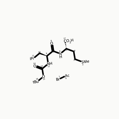 CC(=O)Br.CSCC[C@H](NC(=O)[C@H](CC(C)C)NC(=O)OC(C)(C)C)C(=O)O